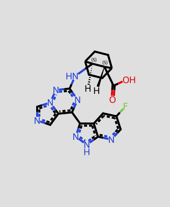 O=C(O)[C@H]1C2CCC(CC2)[C@@H]1Nc1nc(-c2n[nH]c3ncc(F)cc23)c2cncn2n1